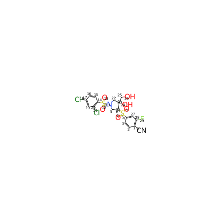 N#Cc1ccc(S(=O)(=O)[C@H]2CN(S(=O)(=O)c3ccc(Cl)cc3Cl)C[C@@]2(O)CO)cc1F